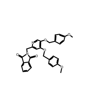 COc1ccc(COc2cnc(CN3C(=O)c4ccccc4C3=O)cc2OCc2ccc(OC)cc2)cc1